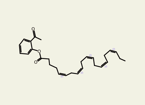 CC/C=C\C/C=C\C/C=C\C/C=C\C/C=C\CCCC(=O)Oc1ccccc1C(C)=O